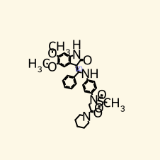 COc1cc2c(cc1OC)/C(=C(/Nc1ccc(N(CC(=O)N3CCCCC3)S(C)(=O)=O)cc1)c1ccccc1)C(=O)N2